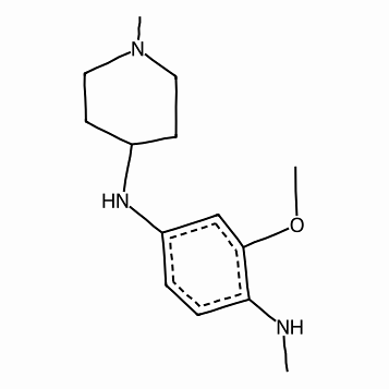 CNc1ccc(NC2CCN(C)CC2)cc1OC